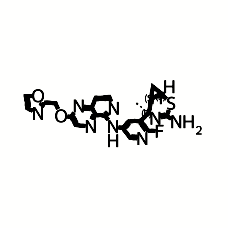 C[C@@]1(c2cc(Nc3nccc4nc(OCc5ncco5)cnc34)cnc2F)N=C(N)S[C@H]2C[C@H]21